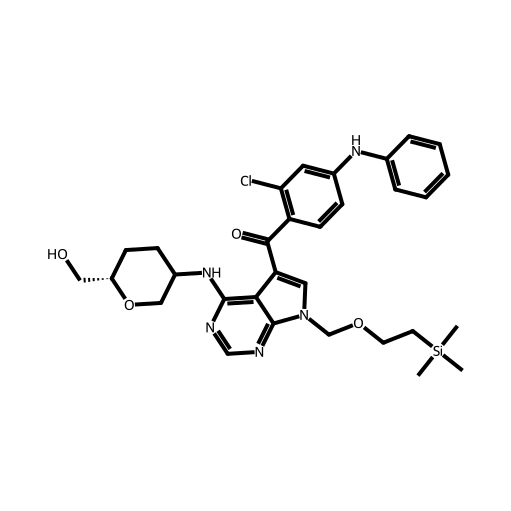 C[Si](C)(C)CCOCn1cc(C(=O)c2ccc(Nc3ccccc3)cc2Cl)c2c(NC3CC[C@@H](CO)OC3)ncnc21